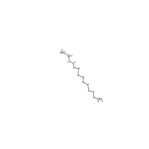 CCCCCCCCCCCC[O][Sn+]